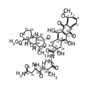 COc1cccc2c1C(=O)c1c(O)c3c(c(O)c1C2=O)C[C@@](O)(C(=O)NNC(=O)[C@H](C)NC(=O)[C@@H](N)CC(N)=O)C[C@@H]3O[C@H]1C[C@H]2[C@H](O[C@@H]3[C@@H](OC)OCCN32)[C@H](C)O1